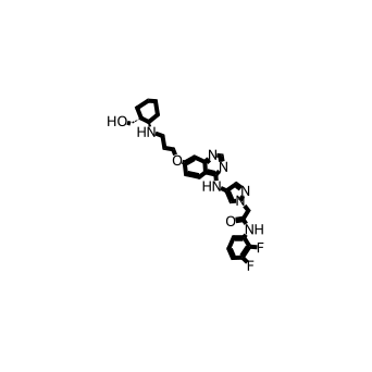 O=C(Cn1cc(Nc2ncnc3cc(OCCCN[C@@H]4CCCC[C@H]4CO)ccc23)cn1)Nc1cccc(F)c1F